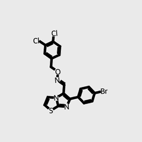 Clc1ccc(CON=Cc2c(-c3ccc(Br)cc3)nc3sccn23)cc1Cl